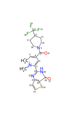 C=N/C(=C\C(=C/C)C(=O)N1CCC(C(F)(F)F)CC1)c1nc2ccsc2c(=O)[nH]1